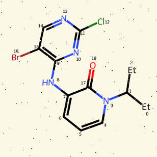 CCC(CC)n1cccc(Nc2nc(Cl)ncc2Br)c1=O